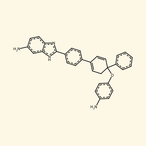 Nc1ccc(OC2(c3ccccc3)C=CC(c3ccc(-c4nc5ccc(N)cc5[nH]4)cc3)=CC2)cc1